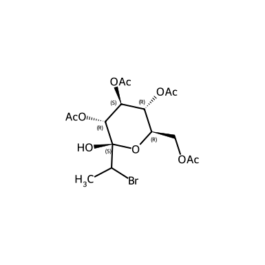 CC(=O)OC[C@H]1O[C@](O)(C(C)Br)[C@H](OC(C)=O)[C@@H](OC(C)=O)[C@@H]1OC(C)=O